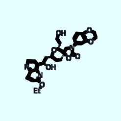 CCOc1ccc2nccc([C@H](O)C[C@@H]3CC[C@@]4(CN(c5ccc6c(c5)OCCO6)C(=O)O4)[C@@H](CCO)O3)c2n1